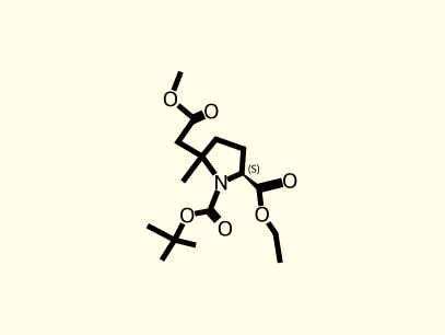 CCOC(=O)[C@@H]1CCC(C)(CC(=O)OC)N1C(=O)OC(C)(C)C